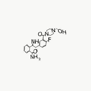 N=C(Cc1ccc(F)c(C(=O)N2CCN(CO)CC2)c1)c1ccccc1C(N)=O